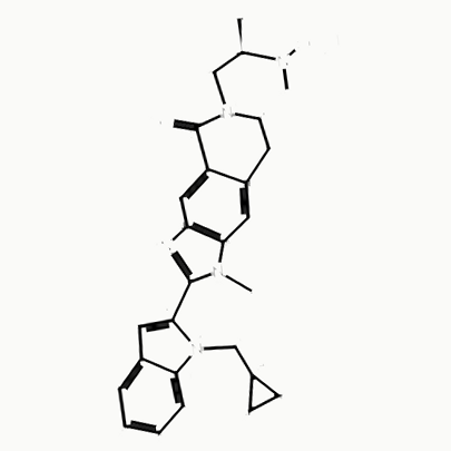 C[C@H](CN1CCc2cc3c(cc2C1=O)nc(-c1cc2ccccc2n1CC1CC1)n3C)N(C)C(=O)O